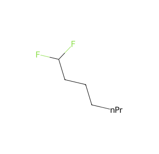 CCCCCCC(F)F